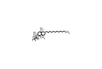 CCCCCCCCCCCCN1CC=C2C(C)(C)[C@H](N(C)C(=O)C(F)(F)F)CC[C@@]2(C)C1